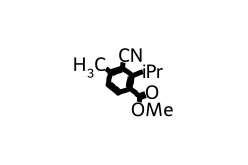 COC(=O)c1ccc(C)c(C#N)c1C(C)C